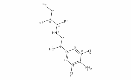 Nc1c(Cl)cc(C(O)CNC(F)C(F)CF)cc1Cl